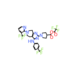 O=C(OC(=O)C(F)(F)F)C1CCN(c2nc3c(c(Nc4ccc(C(F)(F)F)cc4)n2)CCN(c2ncccc2C(F)(F)F)CC3)CC1